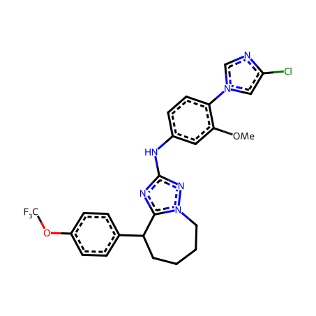 COc1cc(Nc2nc3n(n2)CCCCC3c2ccc(OC(F)(F)F)cc2)ccc1-n1cnc(Cl)c1